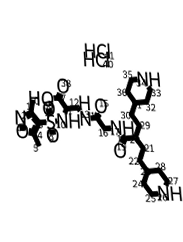 Cc1noc(C)c1S(=O)(=O)NC(CNC(=O)CNC(=O)C(CCC1CCNCC1)CCC1CCNCC1)C(=O)O.Cl.Cl